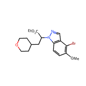 CCOC(=O)C(CC1CCOCC1)n1ncc2c(Br)c(OC)ccc21